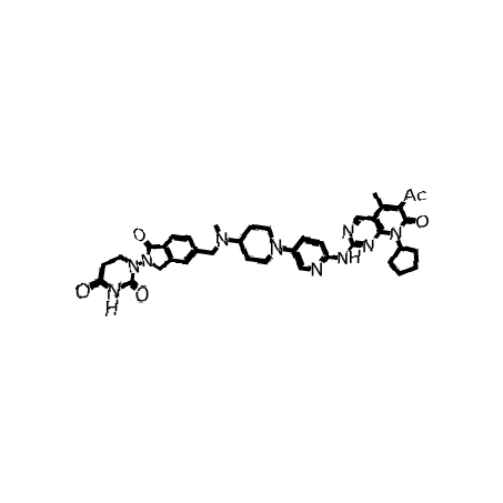 CC(=O)c1c(C)c2cnc(Nc3ccc(N4CCC(N(C)Cc5ccc6c(c5)CN(N5CCC(=O)NC5=O)C6=O)CC4)cn3)nc2n(C2CCCC2)c1=O